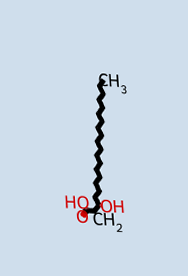 C=C(C(=O)O)C(O)CCCCCCCCCCCCCCCCCC